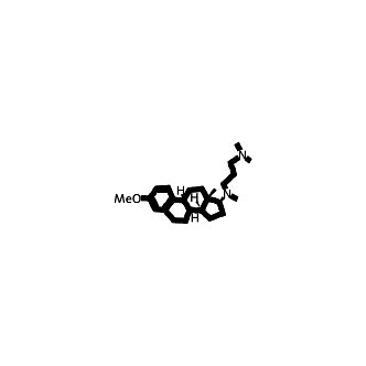 COc1ccc2c(c1)CC[C@@H]1[C@@H]2CC[C@]2(C)[C@@H](N(C)CCCN(C)C)CC[C@@H]12